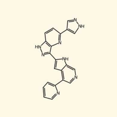 c1ccc(-c2cncc3[nH]c(-c4n[nH]c5ccc(-c6cn[nH]c6)nc45)cc23)nc1